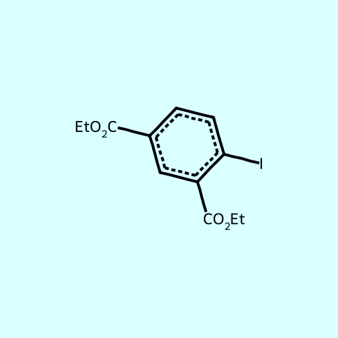 CCOC(=O)c1ccc(I)c(C(=O)OCC)c1